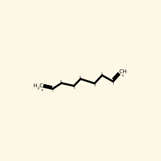 [CH]=CCCCCCC=C